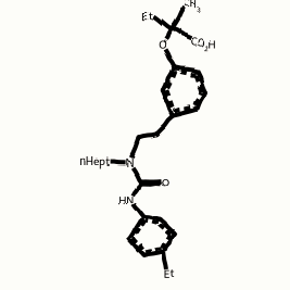 CCCCCCCN(CCc1cccc(OC(C)(CC)C(=O)O)c1)C(=O)Nc1ccc(CC)cc1